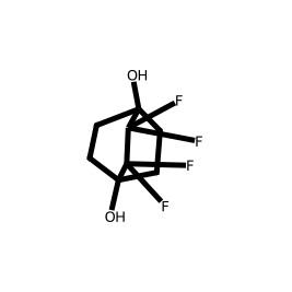 OC12CCC(O)(CC1)C(F)(F)C2(F)F